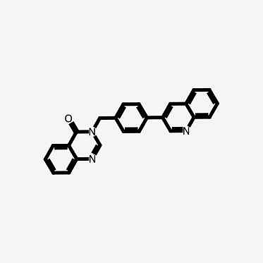 O=c1c2ccccc2ncn1Cc1ccc(-c2cnc3ccccc3c2)cc1